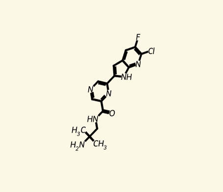 CC(C)(N)CNC(=O)c1cncc(-c2cc3cc(F)c(Cl)nc3[nH]2)n1